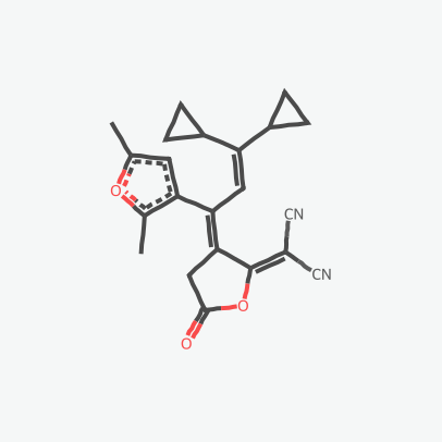 Cc1cc(/C(C=C(C2CC2)C2CC2)=C2\CC(=O)OC2=C(C#N)C#N)c(C)o1